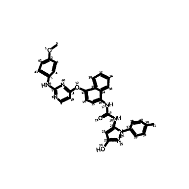 COc1ccc(Nc2nccc(Oc3ccc(NC(=O)Nc4cc(O)nn4-c4ccc(C)cc4)c4ccccc34)n2)cc1